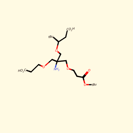 CC(C)(C)OC(=O)CCOCC(N)(COCCC(=O)O)COC(CC(=O)O)C(C)(C)C